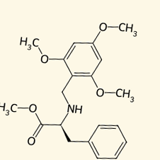 COC(=O)[C@H](Cc1ccccc1)NCc1c(OC)cc(OC)cc1OC